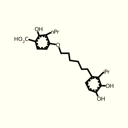 CCCc1c(OCCCCCCc2ccc(O)c(O)c2C(C)C)ccc(C(=O)O)c1O